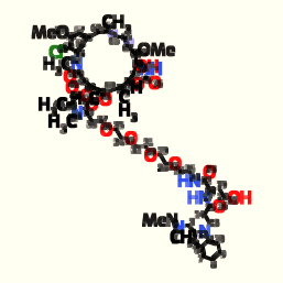 CNN(C)Cc1cc2ccccc2n1CCC(=O)N[C@@H](CCO)C(=O)NCCOCCOCCOCCOCCC(=O)N(C)[C@@H](C)C(=O)O[C@H]1CC(=O)N(C)c2cc(cc(OC)c2Cl)C/C(C)=C/C=C/[C@@H](OC)[C@@]2(O)C[C@H](OC(=O)N2)[C@@H](C)C2O[C@]21C